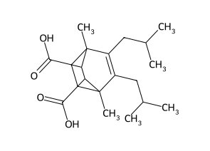 CC(C)CC1=C(CC(C)C)C2(C)CCC1(C)C(C(=O)O)C2C(=O)O